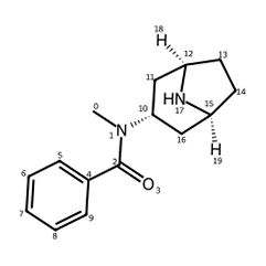 CN(C(=O)c1ccccc1)[C@@H]1C[C@H]2CC[C@@H](C1)N2